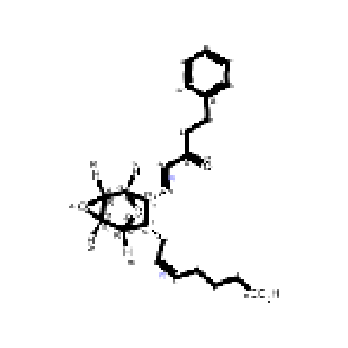 O=C(O)CCC/C=C\C[C@H]1[C@@H](/C=C/C(=O)CCc2ccccc2)[C@@H]2O[C@H]1[C@@H]1O[C@@H]12